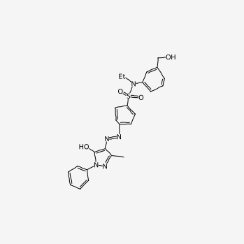 CCN(c1cccc(CO)c1)S(=O)(=O)c1ccc(/N=N/c2c(C)nn(-c3ccccc3)c2O)cc1